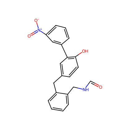 O=CNCc1ccccc1Cc1ccc(O)c(-c2cccc([N+](=O)[O-])c2)c1